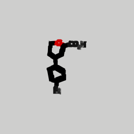 CCc1ccc(C2C=C(C(=O)O)OCC2)cc1